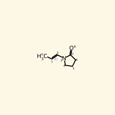 C/C=C/N1CCCC1=O